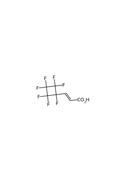 O=C(O)C=CC1(F)C(F)(F)C(F)(F)C1(F)F